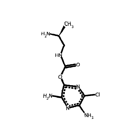 C[C@H](N)CNC(=O)Oc1nc(Cl)c(N)nc1N